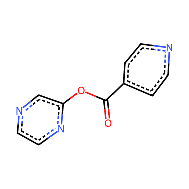 O=C(Oc1cnccn1)c1ccncc1